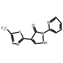 O=c1c(-c2nnc(C(F)(F)F)s2)c[nH]n1-c1ccccn1